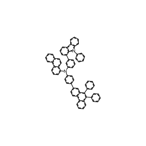 c1ccc(-c2c(-c3ccccc3)c3cc(-c4ccc(N(c5cccc(-c6cccc7c8ccccc8n(-c8ccccc8)c67)c5)c5cccc6c5ccc5ccccc56)cc4)ccc3c3ccccc23)cc1